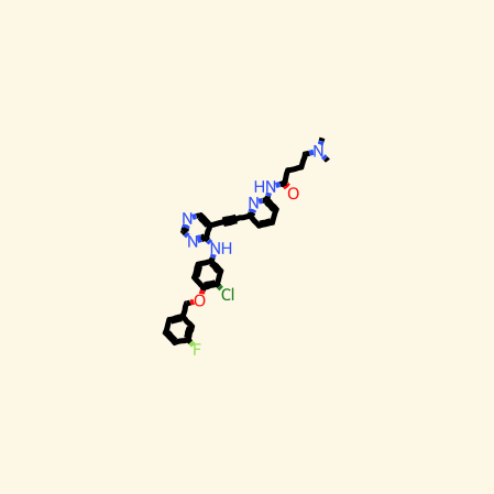 CN(C)CCCC(=O)Nc1cccc(C#Cc2cncnc2Nc2ccc(OCc3cccc(F)c3)c(Cl)c2)n1